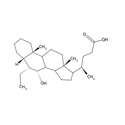 CC[C@H]1[C@@H](O)C2C3CCC([C@H](C)CCC(=O)O)[C@@]3(C)CCC2[C@@]2(C)CCCC[C@@H]12